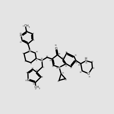 Cc1ccc(N2CCC[C@H](N(Cc3ccnc(C)c3)Cc3cn(C4CC4)c4cc(C5COCCN5)ccc4c3=O)C2)cn1